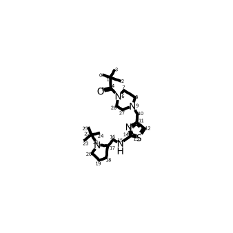 CC(C)(C)C(=O)N1CCN(Cc2csc(NCC3CCCN3C(C)(C)C)n2)CC1